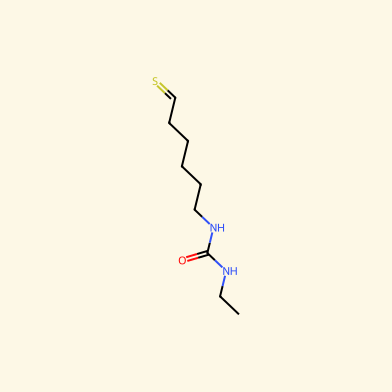 CCNC(=O)NCCCCCC=S